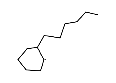 CCCCCCC1[CH]CCCC1